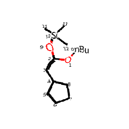 CCCCO/C(=C\C1CCCC1)O[Si](C)(C)C